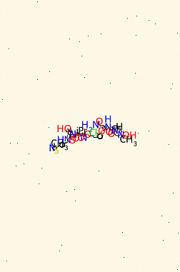 Cc1ncsc1-c1ccc(CNC(=O)[C@@H]2C[C@@H](O)CN2C(=O)[C@@H](c2cc(OCCCc3cccc(OC[C@H](CCC(N)=O)NC(=O)[C@@H]4CC[C@@H]5CCN(C(C)O)CCC(=O)N54)c3Cl)no2)C(C)C)cc1